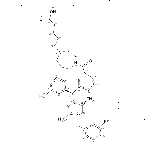 C[C@@H]1CN([C@@H](c2cccc(O)c2)c2cccc(C(=O)N3CCCN(CCCCC(=O)O)CC3)c2)[C@@H](C)CN1Cc1cccc(F)c1